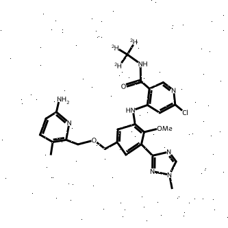 [2H]C([2H])([2H])NC(=O)c1cnc(Cl)cc1Nc1cc(COCc2nc(N)ccc2C)cc(-c2ncn(C)n2)c1OC